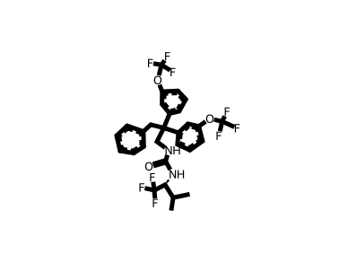 CC(C)[C@@H](NC(=O)NCC(Cc1ccccc1)(c1cccc(OC(F)(F)F)c1)c1cccc(OC(F)(F)F)c1)C(F)(F)F